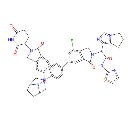 O=C1CCC(N2Cc3cc(CN4C5CCC4CN(c4ccc(-c6cc(F)c7c(c6)C(=O)N(C(C(=O)Nc6nccs6)c6ncn8c6CCC8)C7)cc4)C5)ccc3C2=O)C(=O)N1